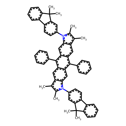 Cc1c(C)n(-c2ccc3c(c2)C(C)(C)c2ccccc2-3)c2cc3c(-c4ccccc4)c4cc5c(C)c(C)n(-c6ccc7c(c6)C(C)(C)c6ccccc6-7)c5cc4c(-c4ccccc4)c3cc12